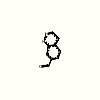 O=Cc1ccc2ccnnc2c1